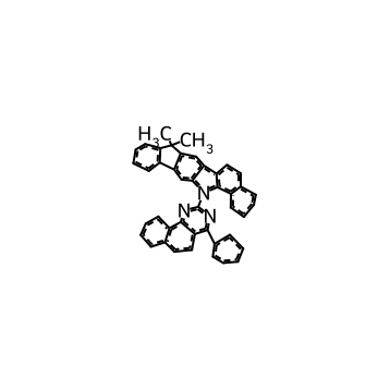 CC1(C)c2ccccc2-c2cc3c(cc21)c1ccc2ccccc2c1n3-c1nc(-c2ccccc2)c2ccc3ccccc3c2n1